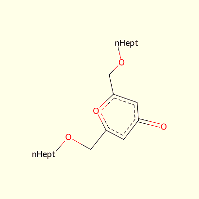 CCCCCCCOCc1cc(=O)cc(COCCCCCCC)o1